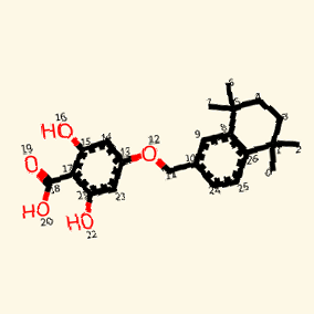 CC1(C)CCC(C)(C)c2cc(COc3cc(O)c(C(=O)O)c(O)c3)ccc21